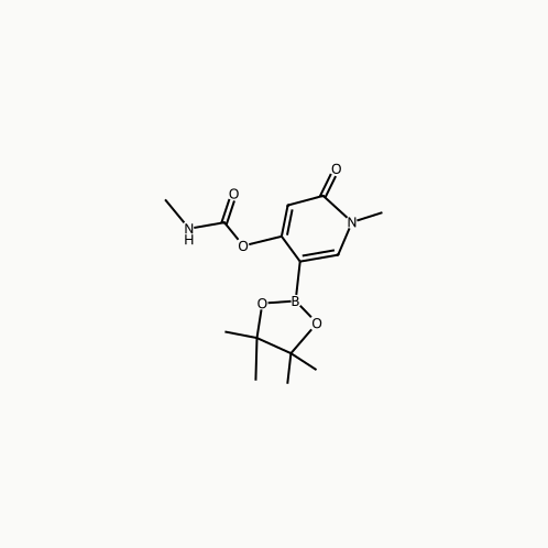 CNC(=O)Oc1cc(=O)n(C)cc1B1OC(C)(C)C(C)(C)O1